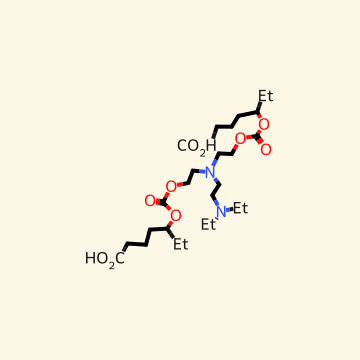 CCC(CCCC(=O)O)OC(=O)OCCN(CCOC(=O)OC(CC)CCCC(=O)O)CCN(CC)CC